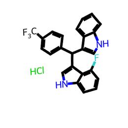 Cl.Fc1cccc2[nH]cc([C](c3ccc(C(F)(F)F)cc3)c3c[nH]c4ccccc34)c12